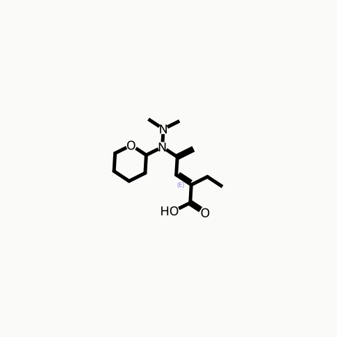 C=C(/C=C(\CC)C(=O)O)N(C1CCCCO1)N(C)C